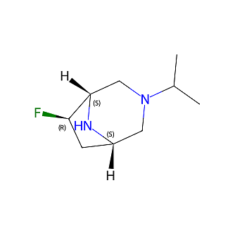 CC(C)N1C[C@@H]2C[C@@H](F)[C@H](C1)N2